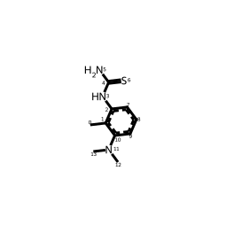 Cc1c(NC(N)=S)cccc1N(C)C